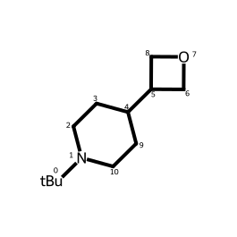 CC(C)(C)N1CCC(C2COC2)CC1